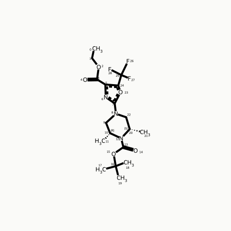 CCOC(=O)c1nc(N2C[C@@H](C)N(C(=O)OC(C)(C)C)[C@@H](C)C2)oc1C(F)(F)F